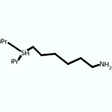 CC(C)[SH](CCCCCCN)C(C)C